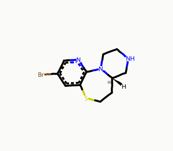 Brc1cnc2c(c1)SCC[C@H]1CNCCN21